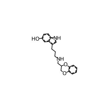 Oc1ccc2[nH]cc(CCCNCC3COc4ccccc4O3)c2c1